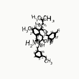 CCc1cccc(CNC[C@H](O)[C@@H](Cc2cc(F)cc(F)c2)c2c(C(N)=O)cc(C)cc2C(=O)NCC(C)C)c1